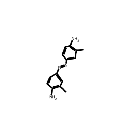 Cc1cc(/N=N/c2ccc(N)c(C)c2)ccc1N